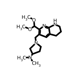 COC(OC)c1nc2c(cc1CN1CCC(N(C)C)C1)CCCN2